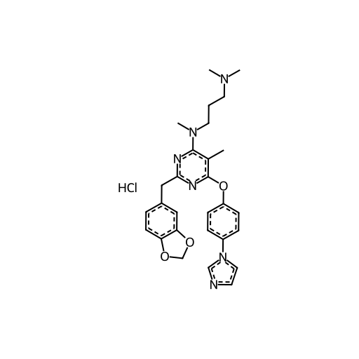 Cc1c(Oc2ccc(-n3ccnc3)cc2)nc(Cc2ccc3c(c2)OCO3)nc1N(C)CCCN(C)C.Cl